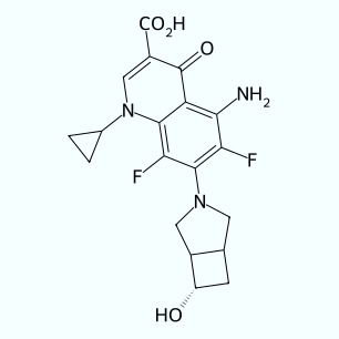 Nc1c(F)c(N2CC3C[C@H](O)C3C2)c(F)c2c1c(=O)c(C(=O)O)cn2C1CC1